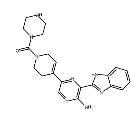 Nc1ncc(C2=CCN(C(=O)N3CCNCC3)CC2)nc1-c1nc2ccccc2[nH]1